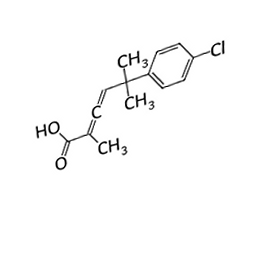 CC(=C=CC(C)(C)c1ccc(Cl)cc1)C(=O)O